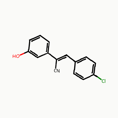 N#C/C(=C\c1ccc(Cl)cc1)c1cccc(O)c1